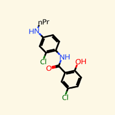 CCCNc1ccc(NC(=O)c2cc(Cl)ccc2O)c(Cl)c1